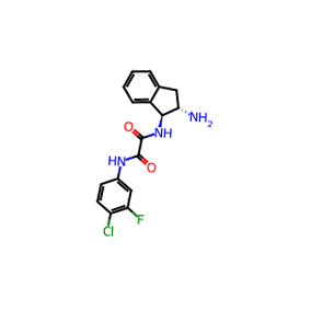 N[C@H]1Cc2ccccc2[C@@H]1NC(=O)C(=O)Nc1ccc(Cl)c(F)c1